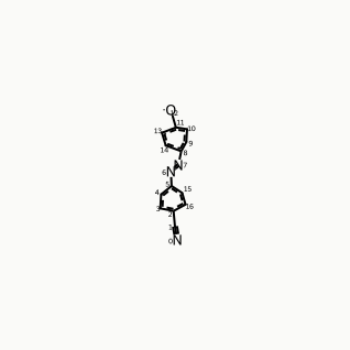 N#Cc1ccc(/N=N/c2ccc([O])cc2)cc1